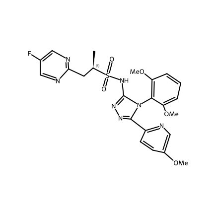 COc1ccc(-c2nnc(NS(=O)(=O)[C@H](C)Cc3ncc(F)cn3)n2-c2c(OC)cccc2OC)nc1